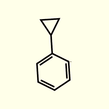 [c]1ccccc1C1CC1